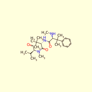 CN[C@H](C(=O)N[C@H](C(=O)N(C)[C@H](C=O)C(C)C)C(C)(C)C)C(C)(C)c1ccccc1